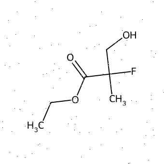 CCOC(=O)C(C)(F)CO